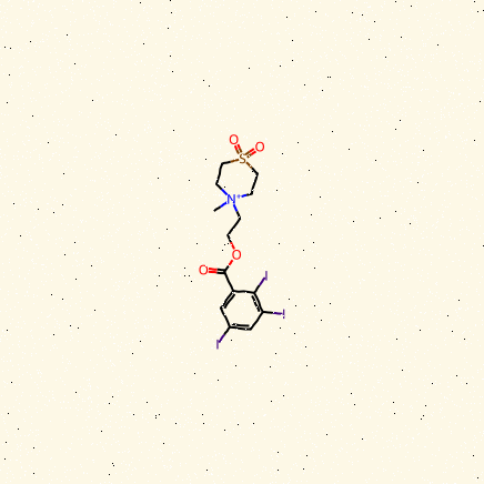 C[N+]1(CCOC(=O)c2cc(I)cc(I)c2I)CCS(=O)(=O)CC1